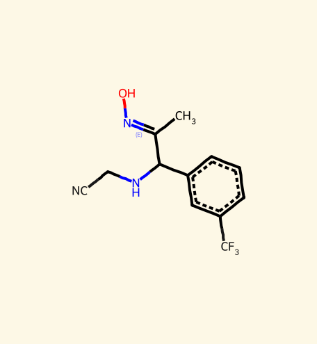 C/C(=N\O)C(NCC#N)c1cccc(C(F)(F)F)c1